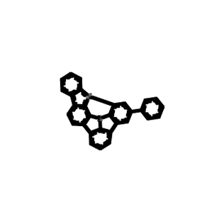 c1ccc(-c2cc3c4c(c2)-n2c5ccccc5c5ccc6c(c52)B4c2c-3cccc2-6)cc1